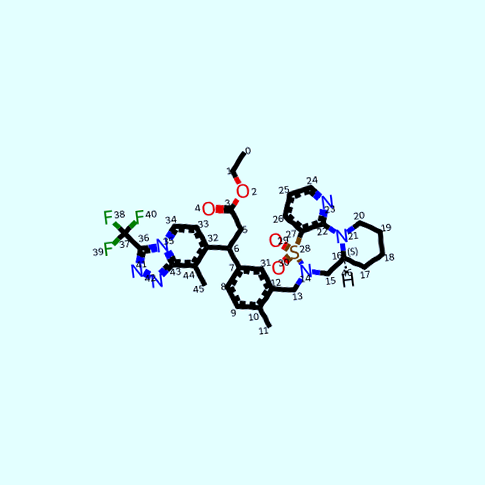 CCOC(=O)CC(c1ccc(C)c(CN2C[C@@H]3CCCCN3c3ncccc3S2(=O)=O)c1)c1ccn2c(C(F)(F)F)nnc2c1C